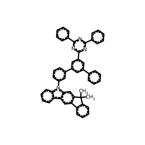 CC1(C)c2ccccc2-c2cc3c4ccccc4n(-c4cccc(-c5cc(-c6ccccc6)cc(-c6nc(-c7ccccc7)nc(-c7ccccc7)n6)c5)c4)c3cc21